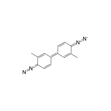 CC1=C/C(=C2\C=CC(=[N+]=[N-])C(C)=C2)C=CC1=[N+]=[N-]